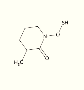 CC1CCCN(OS)C1=O